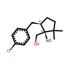 CC1(C)CC[C@H](Cc2ccc(Cl)cc2)[C@]1(CO)N=O